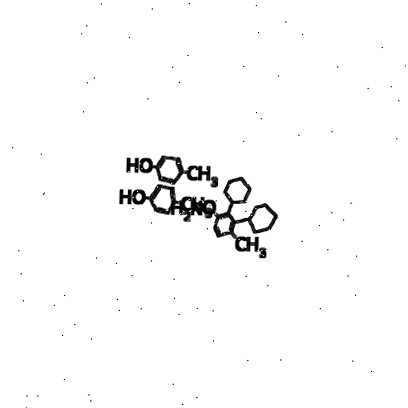 Cc1ccc(O)cc1.Cc1ccc(O)cc1.Cc1ccc(ON)c(C2CCCCC2)c1C1CCCCC1